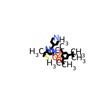 Cc1csc2c(OS(=O)(=O)c3c(C(C)C)cc(C(C)C)cc3C(C)C)nc(-c3ccncc3)nc12